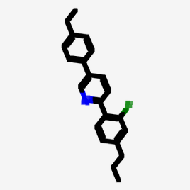 CCCc1ccc(-c2ccc(-c3ccc(CC)cc3)cn2)c(F)c1